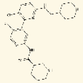 O=C(Nc1cc(-c2nc(NCC3CCOCC3)ccc2Cl)c(Cl)cn1)[C@@H]1CCCNC1